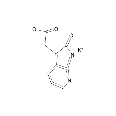 O=C([O-])CC1=c2cccnc2=NC1=O.[K+]